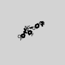 COc1cc(C(C)(C)c2cnc(SCCOc3ccc(-n4ccnc4C)cc3)n2-c2ccc(F)cc2)ccc1F